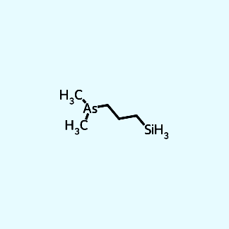 C[As](C)CCC[SiH3]